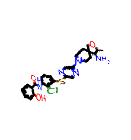 C[C@@H]1OCC2(CCN(c3cnc(Sc4cccc(NC(=O)c5ccccc5O)c4Cl)cn3)CC2)[C@@H]1N